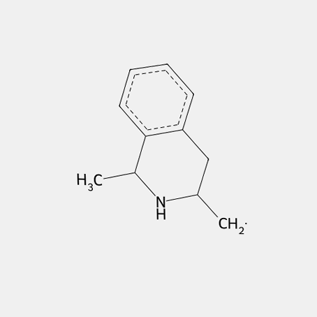 [CH2]C1Cc2ccccc2C(C)N1